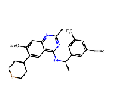 COc1cc2nc(C)nc(N[C@H](C)c3cc(NC(C)=O)cc(C(F)(F)F)c3)c2cc1C1CCSCC1